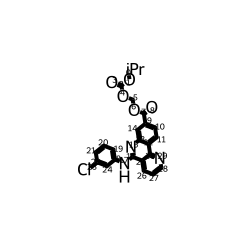 CC(C)OC(=O)OCOC(=O)c1ccc2c(c1)nc(Nc1cccc(Cl)c1)c1cccnc12